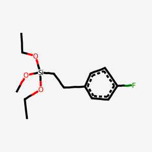 CCO[Si](CCc1ccc(F)cc1)(OC)OCC